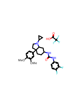 COc1ccc(C23CCC(NC(=O)Nc4ccc(F)c(F)c4)CC2N(C2CC2)CC3)cc1OC.O=C(O)C(F)(F)F